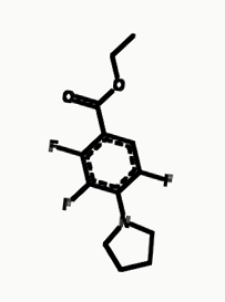 CCOC(=O)c1cc(F)c(N2CCCC2)c(F)c1F